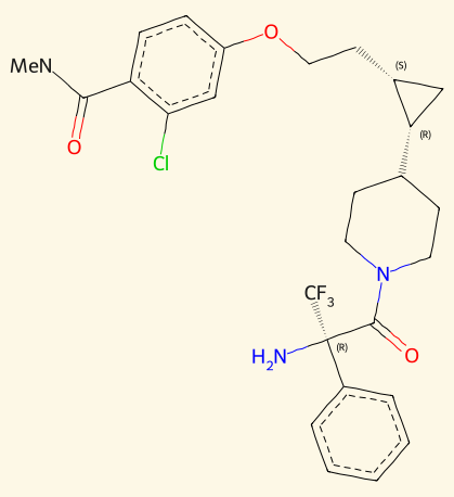 CNC(=O)c1ccc(OCC[C@@H]2C[C@@H]2C2CCN(C(=O)[C@](N)(c3ccccc3)C(F)(F)F)CC2)cc1Cl